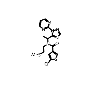 CSCCN(C(=O)c1csc(Cl)c1)C(C)c1ncnn1-c1ncccn1